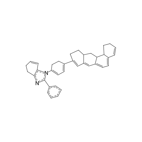 C1=Cc2c(nc(-c3ccccc3)n2C2=CC=C(C3=CC4=CC5=CC=C6C=CCCC6C5CC4CC3)CC2)CC1